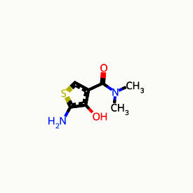 CN(C)C(=O)c1csc(N)c1O